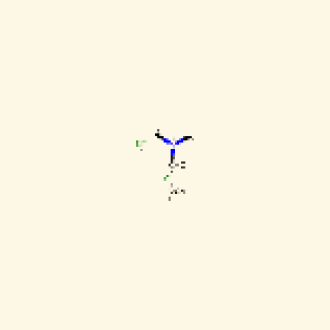 CN(C)C=O.[Cl-].[Cl-].[Sn+2]